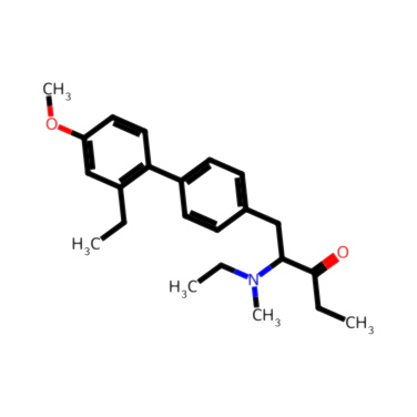 CCC(=O)C(Cc1ccc(-c2ccc(OC)cc2CC)cc1)N(C)CC